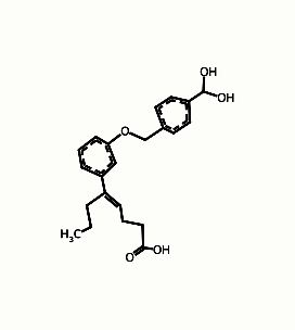 CCCC(=CCCC(=O)O)c1cccc(OCc2ccc(C(O)O)cc2)c1